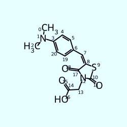 CN(C)c1ccc(C=C2SC(=O)N(CC(=O)O)C2=O)cc1